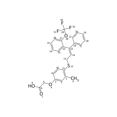 Cc1cc(OCC(=O)O)ccc1SC/C=C(/c1ccccc1)c1ccccc1OC(F)(F)F